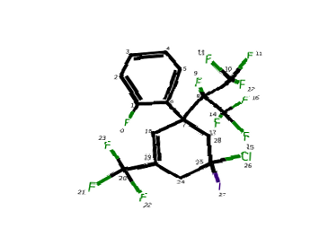 Fc1ccccc1C1(C(F)(C(F)(F)F)C(F)(F)F)C=C(C(F)(F)F)[CH]C(Cl)(I)C1